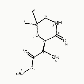 CCCCOC(=O)C(O)[C@H]1OC(C)(C)CNC1=O